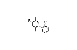 [CH2-][n+]1ccccc1-c1cc(C)c(F)cc1C